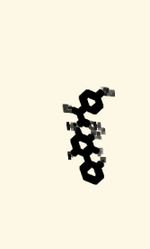 C=C(Nc1cc(F)c(-c2ccccc2F)c(F)c1CC)C(CC)c1ccc(C(C)CC)cc1